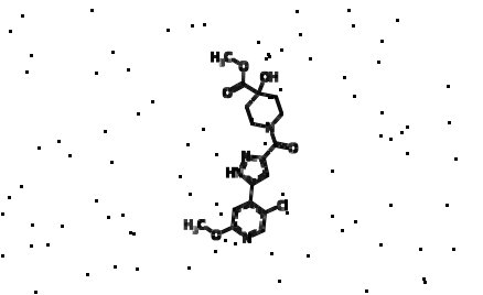 COC(=O)C1(O)CCN(C(=O)c2cc(-c3cc(OC)ncc3Cl)[nH]n2)CC1